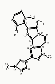 Cc1c(-c2c(Cl)cccc2Cl)nc2c3cc(-c4cnn(C)c4)c[n+]([O-])c3ccn12